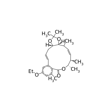 CCOc1cc(C)c2c(c1)/C=C/C[C@@H]1OC(C)(C)O[C@@H]1C(C)/C=C\[C@@H](C)[C@H](C)OC2=O